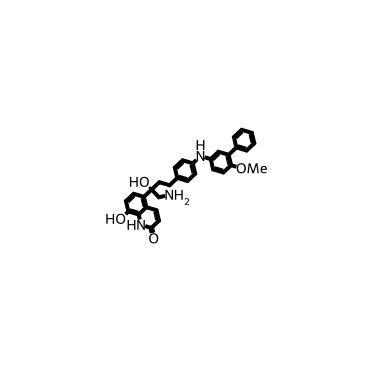 COc1ccc(Nc2ccc(CC[C@](O)(CN)c3ccc(O)c4[nH]c(=O)ccc34)cc2)cc1-c1ccccc1